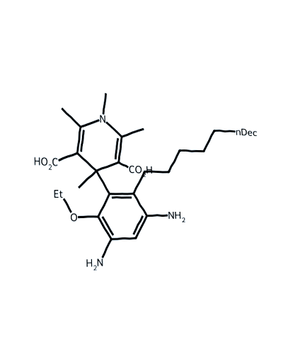 CCCCCCCCCCCCCCCc1c(N)cc(N)c(OCC)c1C1(C)C(C(=O)O)=C(C)N(C)C(C)=C1C(=O)O